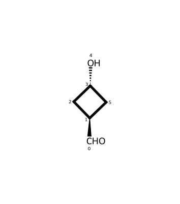 O=C[C@H]1C[C@H](O)C1